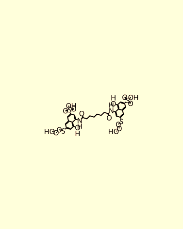 O=C(CCCCCCC(=O)Nc1cc(S(=O)(=O)O)cc2cc(SOOO)cc(O)c12)Nc1cc(SOOO)cc2cc(S(=O)(=O)O)cc(O)c12